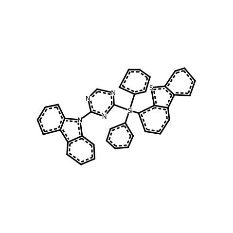 c1ccc([Si](c2ccccc2)(c2ncnc(-n3c4ccccc4c4ccccc43)n2)c2cccc3c2sc2ccccc23)cc1